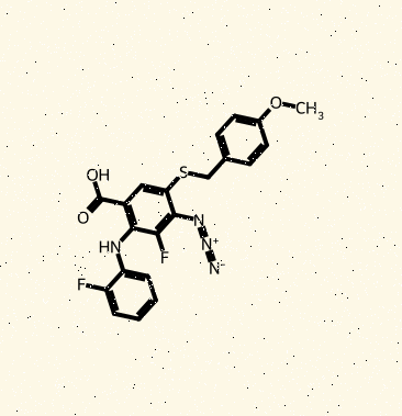 COc1ccc(CSc2cc(C(=O)O)c(Nc3ccccc3F)c(F)c2N=[N+]=[N-])cc1